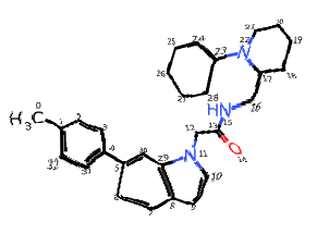 Cc1ccc(-c2ccc3ccn(CC(=O)NCC4CCCCN4C4CCCCC4)c3c2)cc1